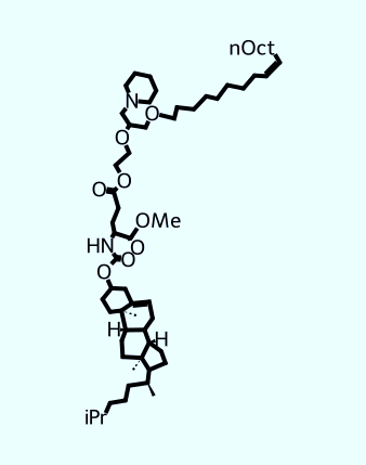 CCCCCCCC/C=C\CCCCCCCCOCC(CN1CCCCC1)OCCOC(=O)CCC(NC(=O)OC1CC[C@@]2(C)C(=CCC3[C@@H]2CC[C@]2(C)C([C@@H](C)CCCC(C)C)CC[C@@H]32)C1)C(=O)OC